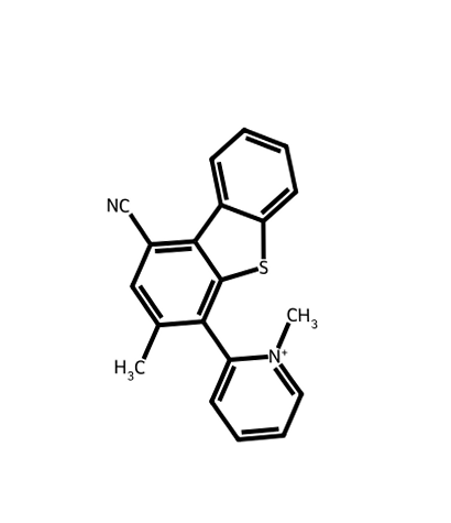 Cc1cc(C#N)c2c(sc3ccccc32)c1-c1cccc[n+]1C